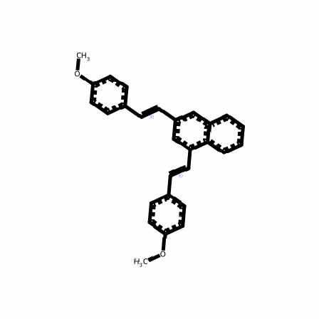 COc1ccc(/C=C/c2cc(/C=C/c3ccc(OC)cc3)c3ccccc3c2)cc1